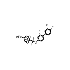 CCCC12COC(C(F)(F)Oc3ccc(-c4ccc(F)c(F)c4)c(F)c3)(OC1)OC2